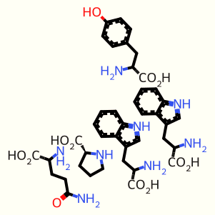 NC(=O)CCC(N)C(=O)O.NC(Cc1c[nH]c2ccccc12)C(=O)O.NC(Cc1c[nH]c2ccccc12)C(=O)O.NC(Cc1ccc(O)cc1)C(=O)O.O=C(O)[C@@H]1CCCN1